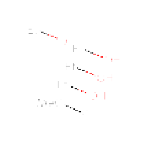 CCO.CCO.CCO.CCO.COC